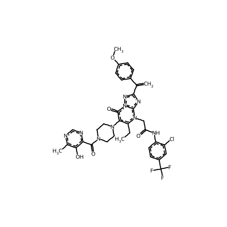 C=C(c1ccc(OC)cc1)c1nc2n(CC(=O)Nc3ccc(C(F)(F)F)cc3Cl)c(CC)c(N3CCN(C(=O)c4ncnc(C)c4O)CC3)c(=O)n2n1